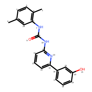 Cc1ccc(C)c(NC(=O)Nc2cccc(-c3cccc(O)c3)n2)c1